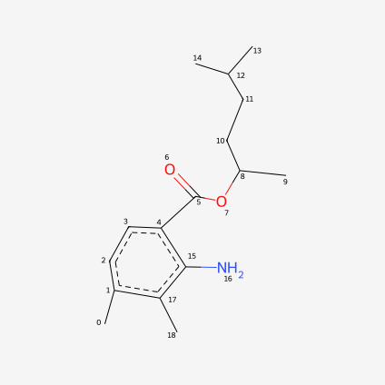 Cc1ccc(C(=O)OC(C)CCC(C)C)c(N)c1C